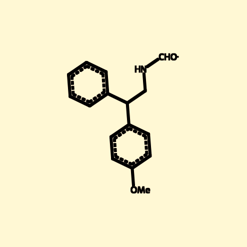 COc1ccc(C(CN[C]=O)c2ccccc2)cc1